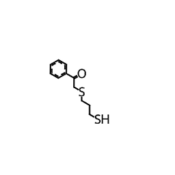 O=C(CSCCCS)c1ccccc1